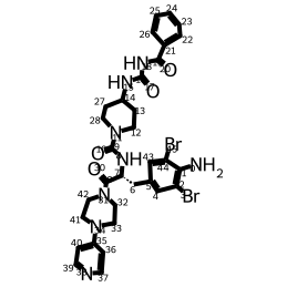 Nc1c(Br)cc(C[C@@H](NC(=O)N2CCC(NC(=O)NC(=O)c3ccccc3)CC2)C(=O)N2CCN(c3ccncc3)CC2)cc1Br